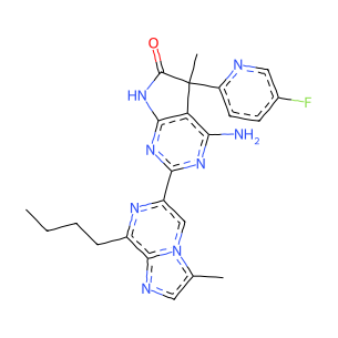 CCCCc1nc(-c2nc(N)c3c(n2)NC(=O)C3(C)c2ccc(F)cn2)cn2c(C)cnc12